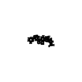 CN(C)[C@H]1CCN(S(=O)(F)=Nc2ccc(C(=O)N3CCO[C@@H](c4ccccc4)C3)c(Cl)c2)C1